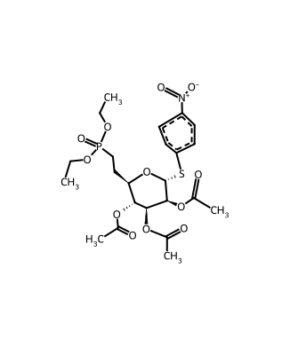 CCOP(=O)(CC[C@H]1O[C@H](Sc2ccc([N+](=O)[O-])cc2)[C@@H](OC(C)=O)[C@@H](OC(C)=O)[C@@H]1OC(C)=O)OCC